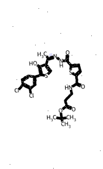 C/C(=N/NC(=O)c1ccc(C(=O)NCCC(=O)OC(C)(C)C)s1)c1csc(-c2ccc(Cl)c(Cl)c2)c1O